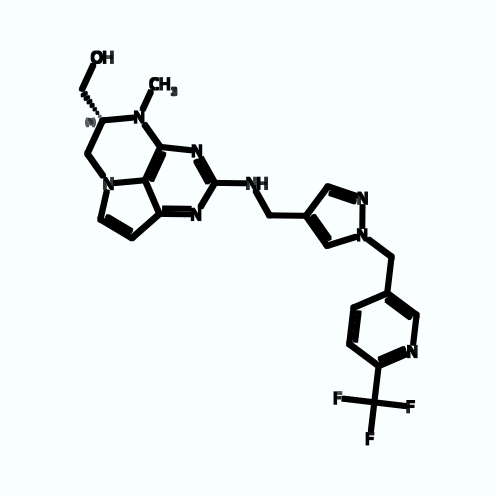 CN1c2nc(NCc3cnn(Cc4ccc(C(F)(F)F)nc4)c3)nc3ccn(c23)C[C@@H]1CO